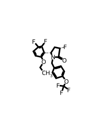 CCOc1ccc(F)c(F)c1[C@@H]1C[C@H](F)C(=O)N1Cc1ccc(OC(F)(F)F)cc1